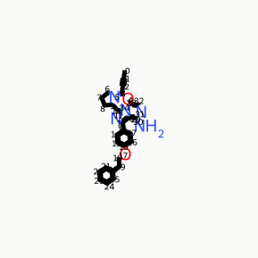 CC#CC(=O)N1CCCC1c1nc(-c2ccc(OCCc3ccccc3)cc2)c2c(N)nccn12